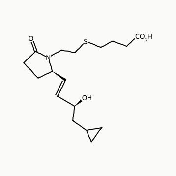 O=C(O)CCCSCCN1C(=O)CC[C@@H]1/C=C/[C@@H](O)CC1CC1